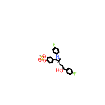 CS(=O)(=O)Oc1ccc([C@@H]2[C@@H](CC[C@H](O)c3ccc(F)cc3)CN2c2ccc(F)cc2)cc1